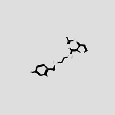 O=C(NCCNc1nc(Cl)nc2ccsc12)c1ccc(Cl)cc1Cl